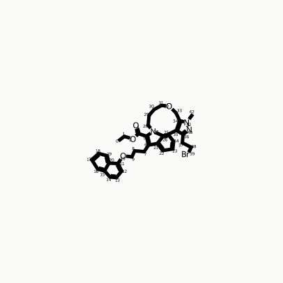 CCOC(=O)c1c(CCCOc2cccc3ccccc23)c2cccc3c2n1CCCCOCc1c-3c(CCBr)nn1C